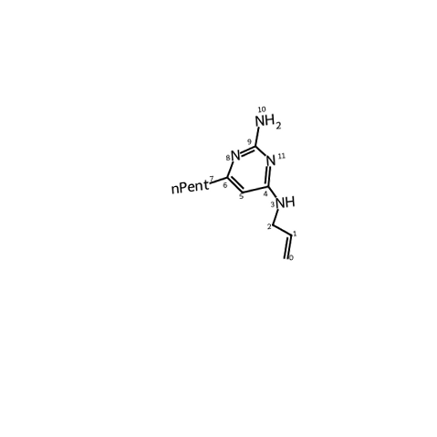 C=CCNc1cc(CCCCC)nc(N)n1